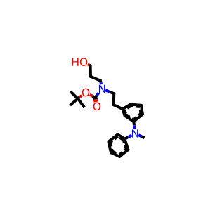 CN(c1ccccc1)c1cccc(CCN(CCCO)C(=O)OC(C)(C)C)c1